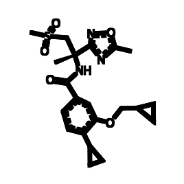 Cc1nc([C@@](C)(CS(C)(=O)=O)NC(=O)c2ccc(C3CC3)c(OCC3CC3)c2)no1